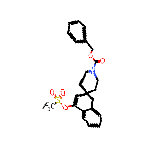 O=C(OCc1ccccc1)N1CCC2(C=C(OS(=O)(=O)C(F)(F)F)c3ccccc3C2)CC1